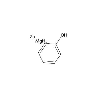 Oc1ccccc1.[MgH2].[Zn]